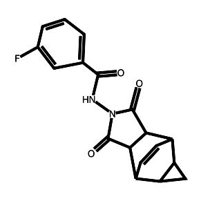 O=C(NN1C(=O)C2C3C=CC(C4CC34)C2C1=O)c1cccc(F)c1